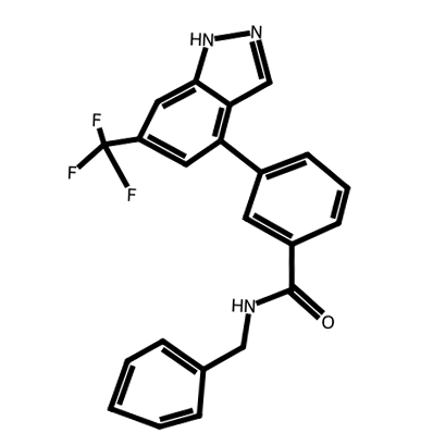 O=C(NCc1ccccc1)c1cccc(-c2cc(C(F)(F)F)cc3[nH]ncc23)c1